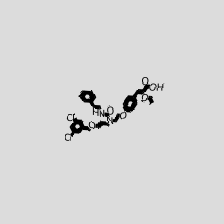 CCOC(Cc1ccc(OCCN(CCCOCc2cc(Cl)cc(Cl)c2)C(=O)NCCc2ccccc2)cc1)C(=O)O